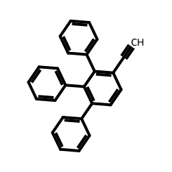 C#Cc1ccc(-c2ccccc2)c(-c2ccccc2)c1-c1ccccc1